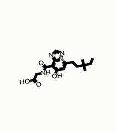 CCC(C)(C)CCc1cc(O)c(C(=O)NCC(=O)O)c2ncnn12